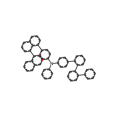 c1ccc(-c2ccccc2-c2ccccc2-c2ccc(N(c3ccccc3)c3ccc(-c4cccc5cccc(-c6cccc7ccccc67)c45)cc3)cc2)cc1